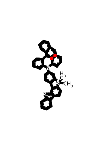 C[Si]1(C)c2cc(N(c3ccccc3)c3ccccc3-c3cccc4ccccc34)ccc2-c2c1ccc1c2sc2ccccc21